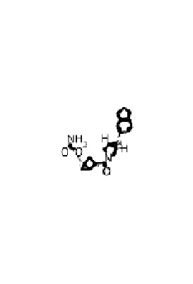 NC(=O)OC[C@@]12CC1[C@H](C(=O)N1C[C@@H]3[C@H](C1)[C@H]3c1ccc3c(c1)CCC3)C2